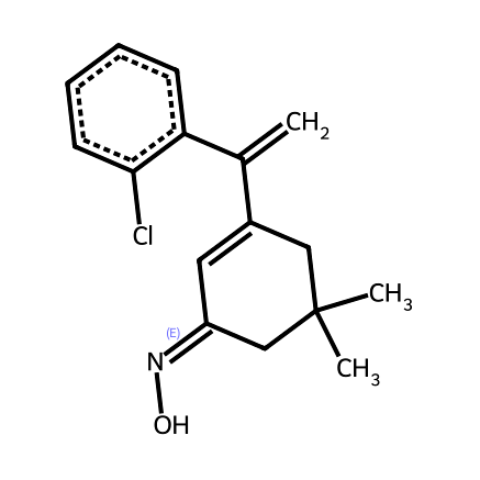 C=C(C1=C/C(=N/O)CC(C)(C)C1)c1ccccc1Cl